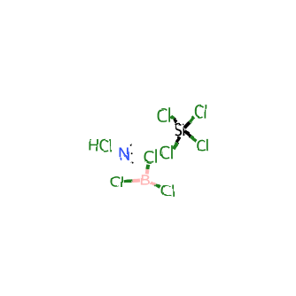 Cl.ClB(Cl)Cl.Cl[Si](Cl)(Cl)Cl.[N]